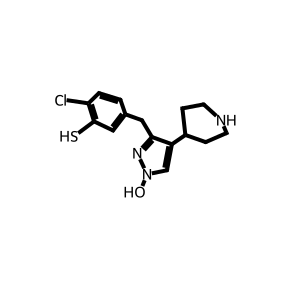 On1cc(C2CCNCC2)c(Cc2ccc(Cl)c(S)c2)n1